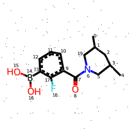 CC1CC(C)CN(C(=O)c2cccc(B(O)O)c2F)C1